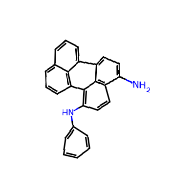 Nc1ccc2c3cccc4cccc(c5c(Nc6ccccc6)ccc1c25)c43